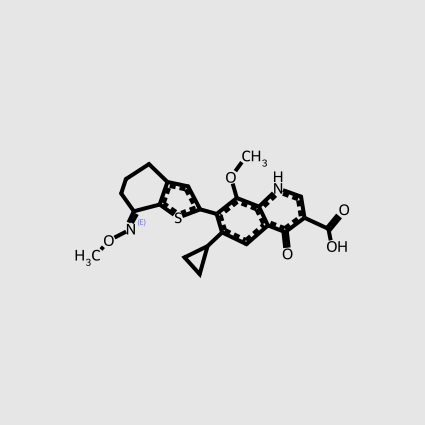 CO/N=C1\CCCc2cc(-c3c(C4CC4)cc4c(=O)c(C(=O)O)c[nH]c4c3OC)sc21